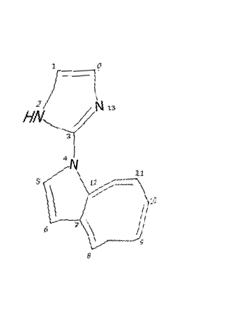 [c]1c[nH]c(-n2ccc3ccccc32)n1